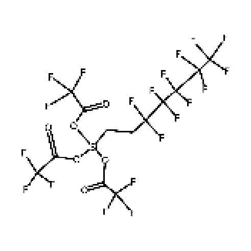 O=C(O[Si](CCC(F)(F)C(F)(F)C(F)(F)C(F)(F)C(F)(F)F)(OC(=O)C(F)(F)F)OC(=O)C(F)(F)F)C(F)(F)F